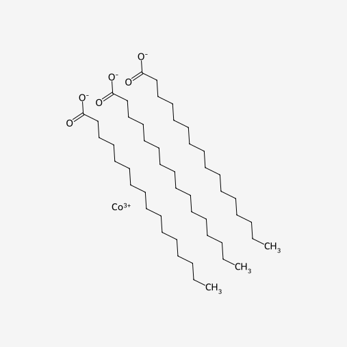 CCCCCCCCCCCCCCCC(=O)[O-].CCCCCCCCCCCCCCCC(=O)[O-].CCCCCCCCCCCCCCCC(=O)[O-].[Co+3]